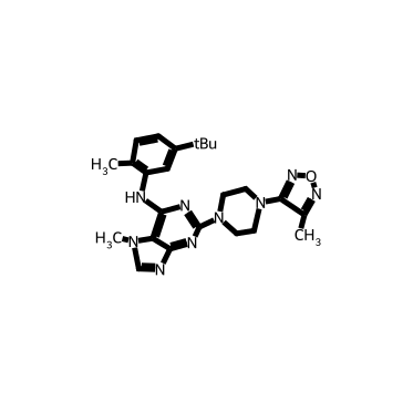 Cc1ccc(C(C)(C)C)cc1Nc1nc(N2CCN(c3nonc3C)CC2)nc2ncn(C)c12